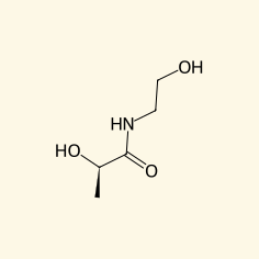 C[C@@H](O)C(=O)NCCO